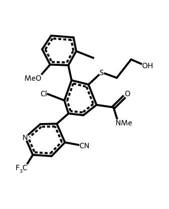 CNC(=O)c1cc(-c2cnc(C(F)(F)F)cc2C#N)c(Cl)c(-c2c(C)cccc2OC)c1SCCO